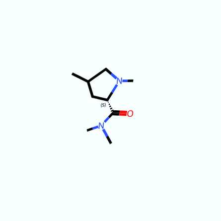 CC1C[C@@H](C(=O)N(C)C)N(C)C1